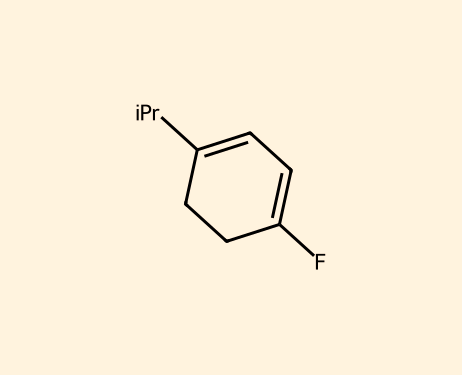 CC(C)C1=CC=C(F)CC1